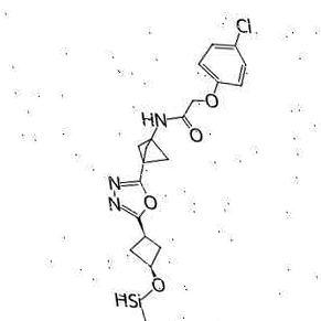 C[SiH](C)O[C@H]1C[C@@H](c2nnc(C34CC(NC(=O)COc5ccc(Cl)cc5)(C3)C4)o2)C1